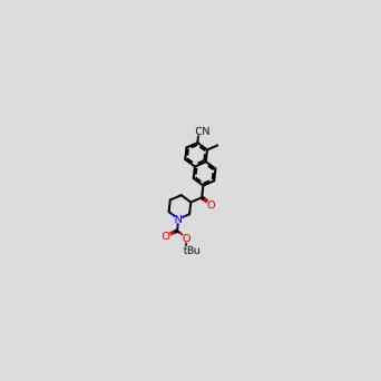 Cc1c(C#N)ccc2cc(C(=O)C3CCCN(C(=O)OC(C)(C)C)C3)ccc12